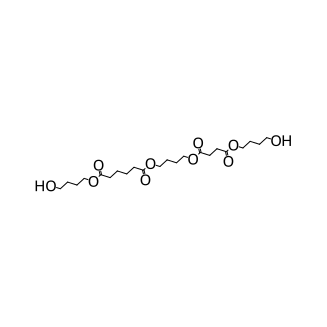 O=C(CCCCC(=O)OCCCCOC(=O)CCC(=O)OCCCCO)OCCCCO